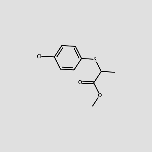 COC(=O)C(C)Sc1ccc(Cl)cc1